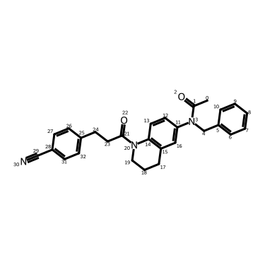 CC(=O)N(Cc1ccccc1)c1ccc2c(c1)CCCN2C(=O)CCc1ccc(C#N)cc1